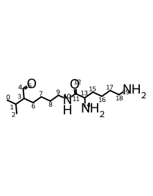 CC(C)C(C=O)CCCCNC(=O)C(N)CCCCN